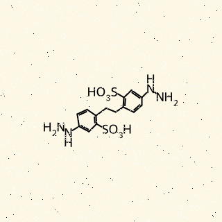 NNc1ccc(CCc2ccc(NN)cc2S(=O)(=O)O)c(S(=O)(=O)O)c1